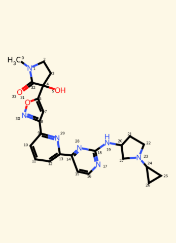 CN1CCC(O)(c2cc(-c3cccc(-c4ccnc(NC5CCN(C6CC6)C5)n4)n3)no2)C1=O